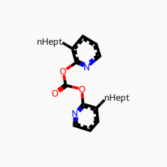 CCCCCCCc1cccnc1OC(=O)Oc1ncccc1CCCCCCC